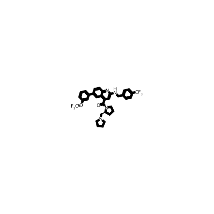 O=C(c1cc(NCc2ccc(C(F)(F)F)cc2)nc2ccc(-c3cccc(OC(F)(F)F)c3)cc12)N1CCC[C@H]1CN1CCCC1